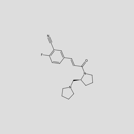 N#Cc1cc(C=CC(=O)N2CCC[C@H]2CN2CCCC2)ccc1F